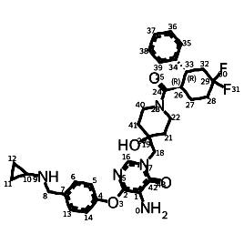 Nc1c(Oc2ccc(CNC3CC3)cc2)ncn(CC2(O)CCN(C(=O)[C@@H]3CCC(F)(F)C[C@H]3c3ccccc3)CC2)c1=O